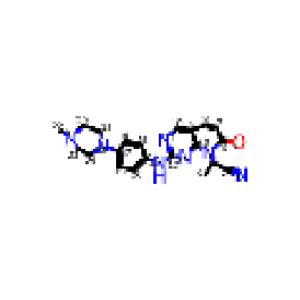 CC(C#N)n1c(=O)ccc2cnc(Nc3ccc(N4CCN(C)CC4)cc3)nc21